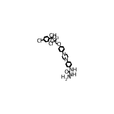 C[C@@]1(c2ccc(Cl)cc2Cl)OC[C@@H](COc2ccc(N3CCN(c4ccc(NC(=O)NN)cc4)CC3)cc2)O1